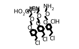 CC(C)(C)N(CCOCCOc1ccc(CCCl)cc1)C(=O)O.Cl.NCCOCCOc1ccc(CCCl)cc1.NCCOCCOc1ccc(CCCl)cc1